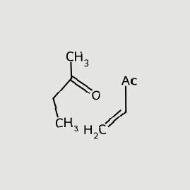 C=CC(C)=O.CCC(C)=O